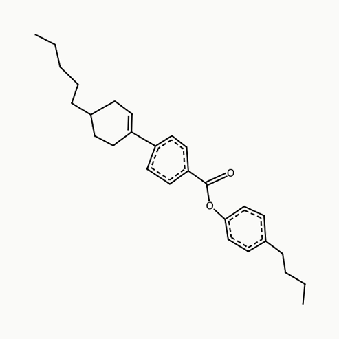 CCCCCC1CC=C(c2ccc(C(=O)Oc3ccc(CCCC)cc3)cc2)CC1